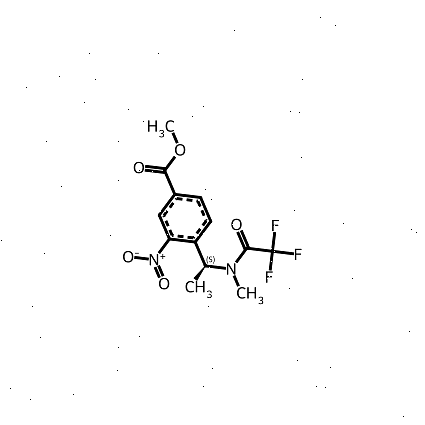 COC(=O)c1ccc([C@H](C)N(C)C(=O)C(F)(F)F)c([N+](=O)[O-])c1